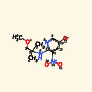 COCC(C)(C)Nc1ncc(Br)cc1[N+](=O)[O-]